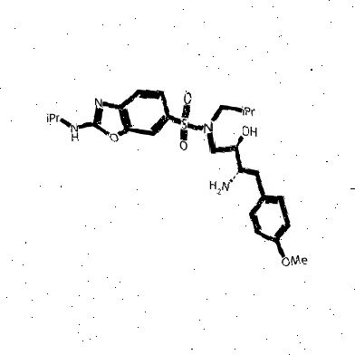 COc1ccc(C[C@H](N)[C@H](O)CN(CC(C)C)S(=O)(=O)c2ccc3nc(NC(C)C)oc3c2)cc1